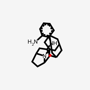 Nc1ccccc1NC1CC2CCC(C1)N2C12CC3CC(CC(C3)C1)C2